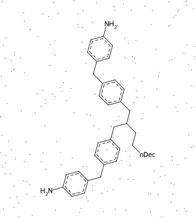 CCCCCCCCCCCCC(Cc1ccc(Cc2ccc(N)cc2)cc1)Cc1ccc(Cc2ccc(N)cc2)cc1